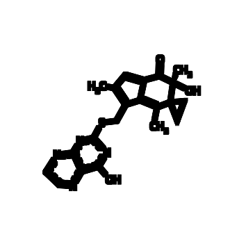 CC1=C(CSc2nc(O)c3nccnc3n2)C2=C(C)C3(CC3)[C@@](C)(O)C(=O)C2=C1